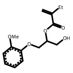 C=C(CC)C(=O)OC(CO)COc1ccccc1OC